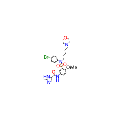 COc1ccc(NC(=O)c2cnc(C)[nH]2)cc1S(=O)(=O)N(CCCCCN1CCOCC1)c1ccc(Br)cc1